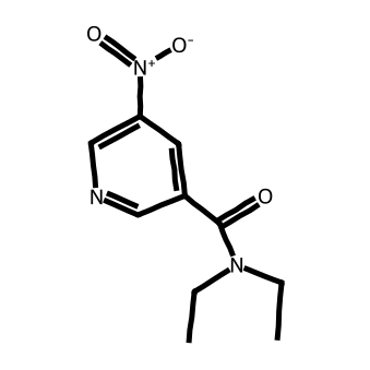 CCN(CC)C(=O)c1cncc([N+](=O)[O-])c1